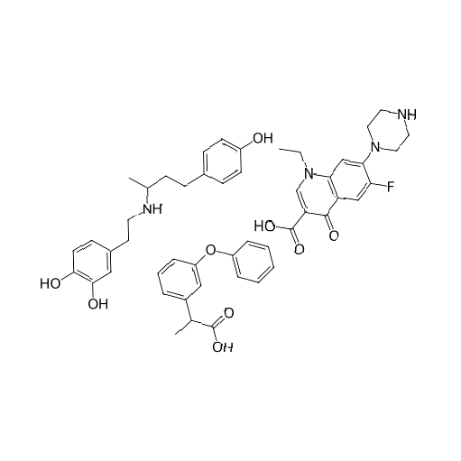 CC(C(=O)O)c1cccc(Oc2ccccc2)c1.CC(CCc1ccc(O)cc1)NCCc1ccc(O)c(O)c1.CCn1cc(C(=O)O)c(=O)c2cc(F)c(N3CCNCC3)cc21